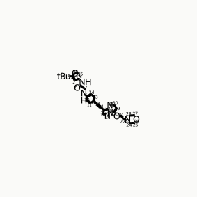 CC(C)(C)c1cc(NC(=O)CNc2ccc(C#Cc3cnn4c(OCCN5CCOCC5)ccnc34)cc2)no1